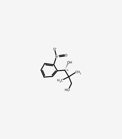 CC(C)(CO)[C@@H](O)c1ccccc1[N+](=O)[O-]